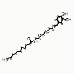 O=C(CCCCCCCCCCS)NCCOCCOCC/N=C/c1ccc(O)c(O)c1